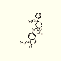 Cn1c(=O)ccc2cc(S[C@@]3(C)C[C@@](O)(c4ccsc4)CCO3)ccc21